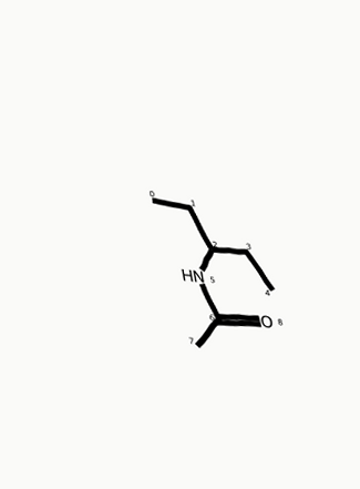 CCC(CC)NC(C)=O